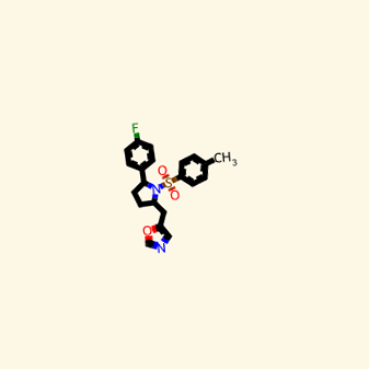 Cc1ccc(S(=O)(=O)N2C(Cc3cnco3)CCC2c2ccc(F)cc2)cc1